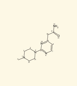 CN1CCN(c2nccc(CC(N)=O)n2)CC1